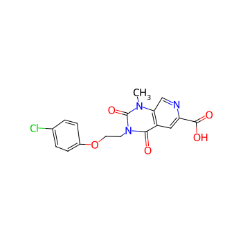 Cn1c(=O)n(CCOc2ccc(Cl)cc2)c(=O)c2cc(C(=O)O)ncc21